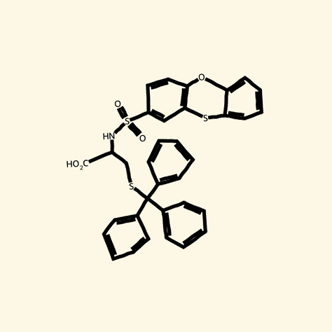 O=C(O)C(CSC(c1ccccc1)(c1ccccc1)c1ccccc1)NS(=O)(=O)c1ccc2c(c1)Sc1ccccc1O2